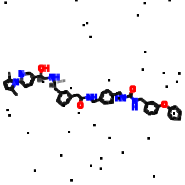 Cc1ccc(C)n1-c1ccc([C@@H](O)CN[C@H](C)Cc2cccc(CC(=O)NCc3ccc(CNC(=O)NCc4cccc(Oc5ccccc5)c4)cc3)c2)cn1